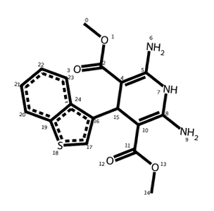 COC(=O)C1=C(N)NC(N)=C(C(=O)OC)C1c1csc2ccccc12